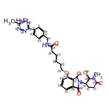 C/N=C(\N=N/C(C)=N)c1ccc(CNC(=O)CCCCCOc2cccc3c2C(=O)N(C2CCC(=O)N(C)C2=O)C3=O)cc1